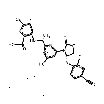 Cc1cc([C@@H](C)Nc2ccc(Cl)nc2C(=O)O)nc(N2C(=O)OC[C@@H]2Cc2ccc(C#N)cc2F)c1